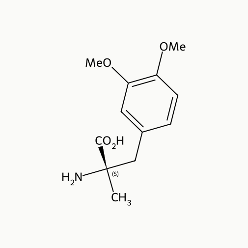 COc1ccc(C[C@](C)(N)C(=O)O)cc1OC